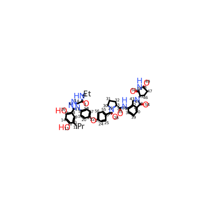 CCNC(=O)c1nnc(-c2cc(C(C)C)c(O)cc2O)n1-c1ccc(Oc2ccc(C(=O)N3CCC[C@H]3C(=O)Nc3cccc4c3CN(C3CCC(=O)NC3=O)C4=O)cc2)cc1